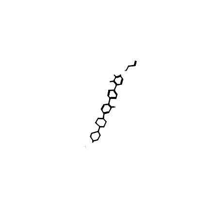 C=CCCOc1ccc(-c2ccc(-c3ccc(C4CCC(C5CCC(CCCCC)CC5)CC4)cc3F)cc2)c(F)c1F